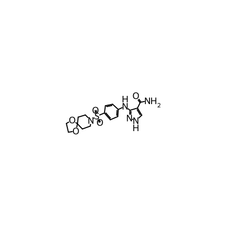 NC(=O)c1c[nH]nc1Nc1ccc(S(=O)(=O)N2CCC3(CC2)OCCO3)cc1